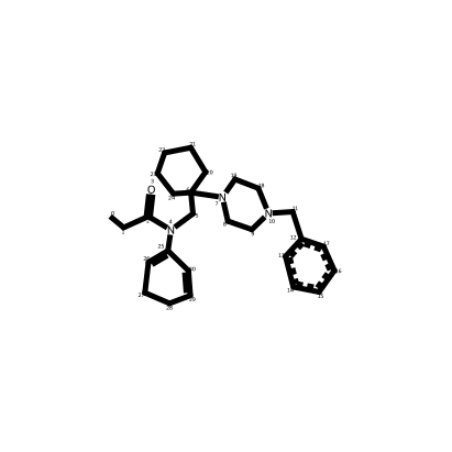 CCC(=O)N(CC1(N2CCN(Cc3ccccc3)CC2)CCCCC1)C1=CCCC=C1